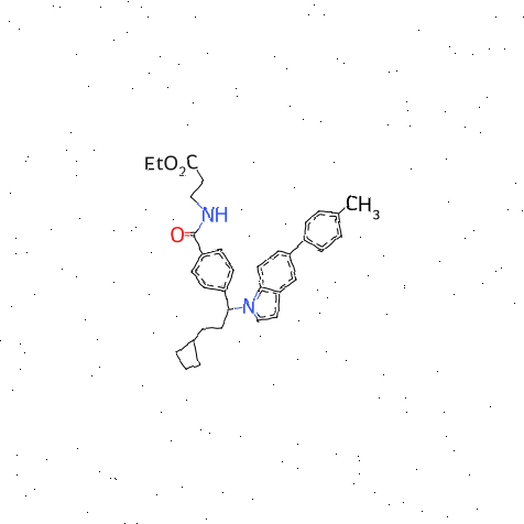 CCOC(=O)CCNC(=O)c1ccc(C(CCC2CCC2)n2ccc3cc(-c4ccc(C)cc4)ccc32)cc1